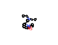 c1ccc(-c2ccc(N(c3ccc(-c4ccc5ccc6ccc7oc(-c8ccccc8)nc7c6c5c4)cc3)c3cccc(-c4ccccc4)c3)cc2)cc1